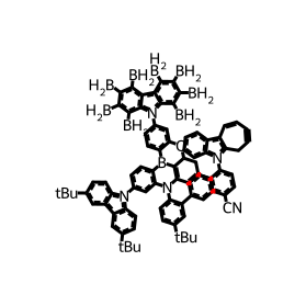 Bc1c(B)c(B)c2c(c1B)c1c(B)c(B)c(B)c(B)c1n2-c1ccc2c(c1)OC1CC(c3cc(C#N)ccc3-n3c4c(c5ccccc53)C=CC#CC4)=CC3=C1B2c1ccc(-n2c4ccc(C(C)(C)C)cc4c4cc(C(C)(C)C)ccc42)cc1N3c1ccc(C(C)(C)C)cc1-c1ccccc1